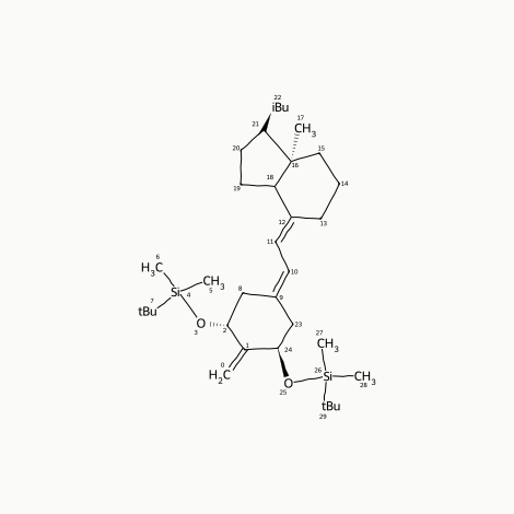 C=C1[C@H](O[Si](C)(C)C(C)(C)C)CC(=C/C=C2\CCC[C@@]3(C)C2CCC3[C@H](C)CC)C[C@H]1O[Si](C)(C)C(C)(C)C